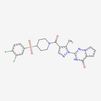 Cc1c(C(=O)N2CCC(S(=O)(=O)c3ccc(F)c(F)c3)CC2)cnn1-c1nn2cccc2c(=O)[nH]1